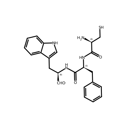 N[C@@H](CS)C(=O)N[C@@H](Cc1ccccc1)C(=O)N[C@@H]([C]=O)Cc1c[nH]c2ccccc12